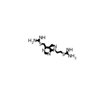 N=C(N)SCCn1ncc2c(CSC(=N)N)ncnc21